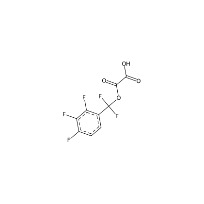 O=C(O)C(=O)OC(F)(F)c1ccc(F)c(F)c1F